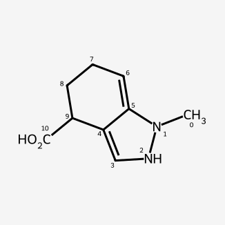 CN1NC=C2C1=CCCC2C(=O)O